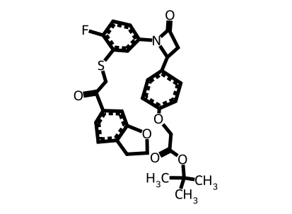 CC(C)(C)OC(=O)COc1ccc(C2CC(=O)N2c2ccc(F)c(SCC(=O)c3ccc4c(c3)OCC4)c2)cc1